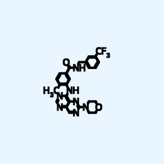 Cc1ccc(C(=O)NCc2cccc(C(F)(F)F)c2)cc1Nc1ncnc2cnc(N3CCOCC3)nc12